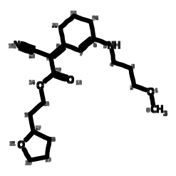 COCCCNC1=C/C(=C(/C#N)C(=O)OCCC2CCCO2)CCC1